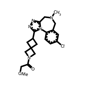 COCC(=O)N1CC2(CC(c3nnc4n3-c3ccc(Cl)cc3CN(C)C4)C2)C1